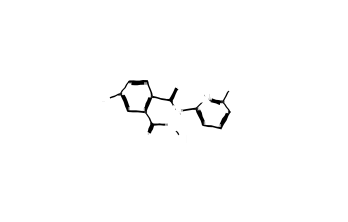 Cc1cccc(NC(=O)c2ccc(Br)cc2C(=O)OC(C)(C)C)n1